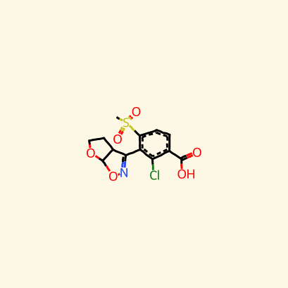 CS(=O)(=O)c1ccc(C(=O)O)c(Cl)c1C1=NOC2OCCC12